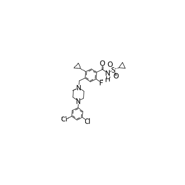 O=C(NS(=O)(=O)C1CC1)c1cc(C2CC2)c(CN2CCN(c3cc(Cl)cc(Cl)c3)CC2)cc1F